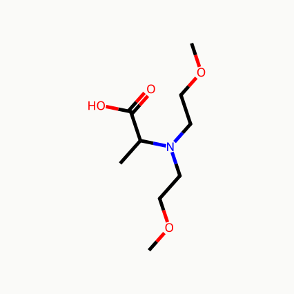 COCCN(CCOC)C(C)C(=O)O